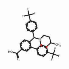 CC1CCN(C(c2ccc(C(F)(F)F)cc2)c2ccc(C(=O)O)cc2-c2ccc(C(F)(F)F)cc2)CC1